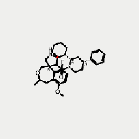 COc1ccc(F)c2c1CC(C)OC[C@]21CNCC1C(=O)N1CC[C@@H](c2ccccc2)C[C@H]1C1CCCCC1